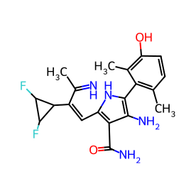 CC(=N)/C(=C\c1[nH]c(-c2c(C)ccc(O)c2C)c(N)c1C(N)=O)C1C(F)C1F